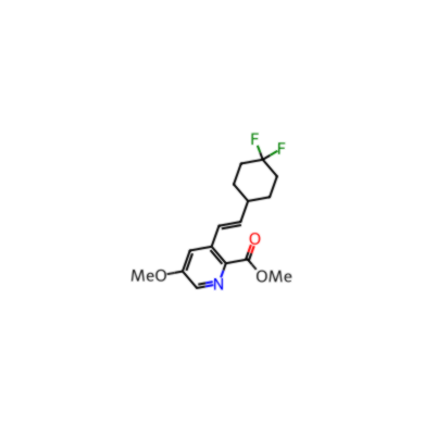 COC(=O)c1ncc(OC)cc1/C=C/C1CCC(F)(F)CC1